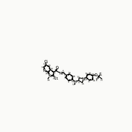 CCc1c(C(=O)NCc2ccc(N(C)C3CN(c4ccc(OC(C)(F)F)cc4)C3)cc2)c2cc(Cl)cnc2n1C